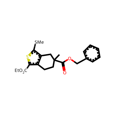 CCOC(=O)c1sc(SC)c2c1CCC(C)(C(=O)OCc1ccccc1)C2